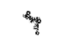 O=[N+]([O-])c1ccccc1-c1cn2c(C(O)Nc3ccccc3-c3cn4c(CN5CCCC5)csc4n3)csc2n1